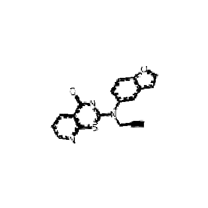 C#CCN(c1ccc2occc2c1)c1nc(=O)c2cccnc2s1